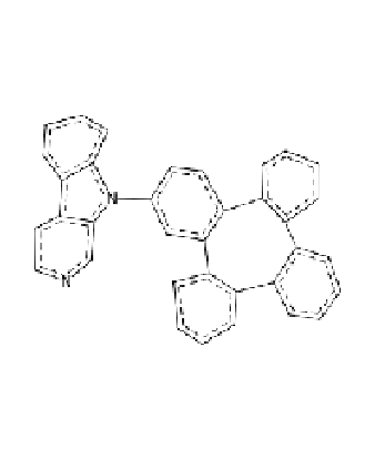 c1ccc2c(c1)-c1ccccc1-c1ccc(-n3c4ccccc4c4ccncc43)cc1-c1ccccc1-2